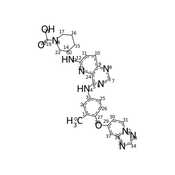 Cc1cc(Nc2ncnc3ccc(N[C@H]4CCCN(C(=O)O)C4)nc23)ccc1Oc1ccn2ncnc2c1